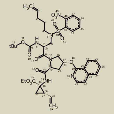 C=CCCCN(C[C@H](NC(=O)OC(C)(C)C)C(=O)N1C[C@H](Oc2nccc3ccccc23)C[C@H]1C(=O)N[C@]1(C(=O)OCC)C[C@H]1C=C)S(=O)(=O)c1ccccc1[N+](=O)[O-]